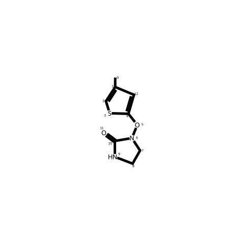 Cc1csc(ON2CCNC2=O)c1